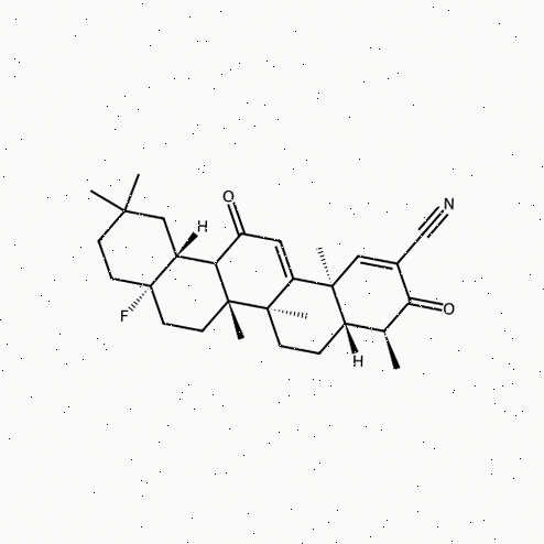 C[C@@H]1C(=O)C(C#N)=C[C@]2(C)C3=CC(=O)C4[C@H]5CC(C)(C)CC[C@]5(F)CC[C@@]4(C)[C@]3(C)CC[C@@H]12